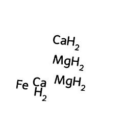 [CaH2].[CaH2].[Fe].[MgH2].[MgH2]